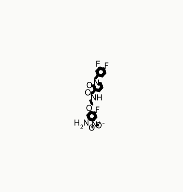 Nc1cc(OCCNC(=O)c2cccn(Cc3ccc(F)c(F)c3)c2=O)c(F)cc1[N+](=O)[O-]